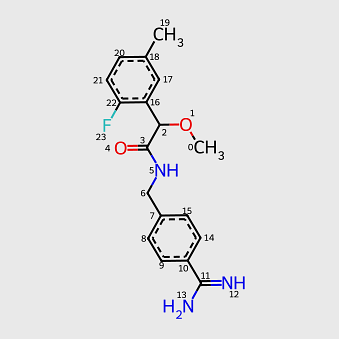 COC(C(=O)NCc1ccc(C(=N)N)cc1)c1cc(C)ccc1F